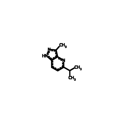 Cc1n[nH]c2ccc(C(C)C)nc12